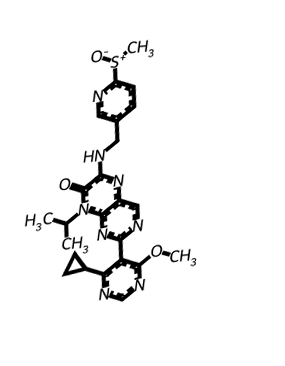 COc1ncnc(C2CC2)c1-c1ncc2nc(NCc3ccc([S+](C)[O-])nc3)c(=O)n(C(C)C)c2n1